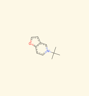 CC(C)(C)[n+]1ccc2occc2c1